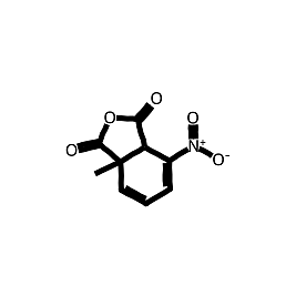 CC12C=CC=C([N+](=O)[O-])C1C(=O)OC2=O